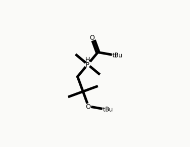 CC(C)(C)OC(C)(C)C[PH](C)(C)C(=O)C(C)(C)C